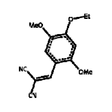 CCOc1cc(OC)c(C=C(C#N)C#N)cc1OC